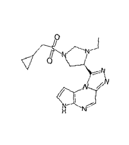 CCN1CN(S(=O)(=O)CC2CC2)C[C@@H]1c1nnc2cnc3[nH]ccc3n12